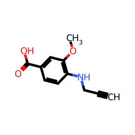 C#CCNc1ccc(C(=O)O)cc1OC